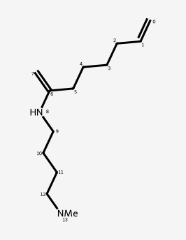 C=CCCCCC(=C)NCCCCNC